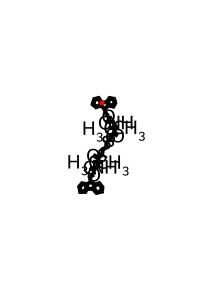 CC(C)(NC(=O)OCC1c2ccccc2-c2ccccc21)C(=O)SCCSSSC(=O)C(C)(C)NC(=O)OCC1c2ccccc2-c2ccccc21